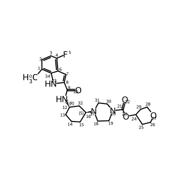 Cc1ccc(F)c2cc(C(=O)N[C@@H]3CCC[C@H](N4CCN(C(=O)OC5CCOCC5)CC4)C3)[nH]c12